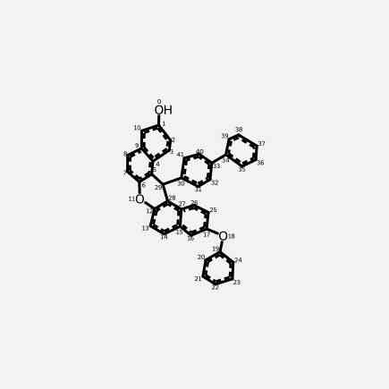 Oc1ccc2c3c(ccc2c1)Oc1ccc2cc(Oc4ccccc4)ccc2c1C3c1ccc(-c2ccccc2)cc1